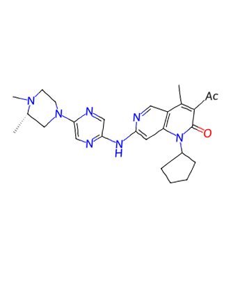 CC(=O)c1c(C)c2cnc(Nc3cnc(N4CCN(C)[C@@H](C)C4)cn3)cc2n(C2CCCC2)c1=O